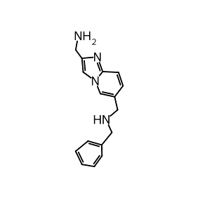 NCc1cn2cc(CNCc3ccccc3)ccc2n1